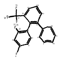 Fc1ccc(-c2c(-c3ccccc3)c[c]cc2C(F)(F)F)c(F)c1